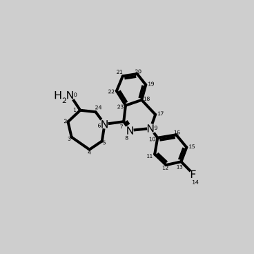 NC1CCCCN(C2=NN(c3ccc(F)cc3)Cc3ccccc32)C1